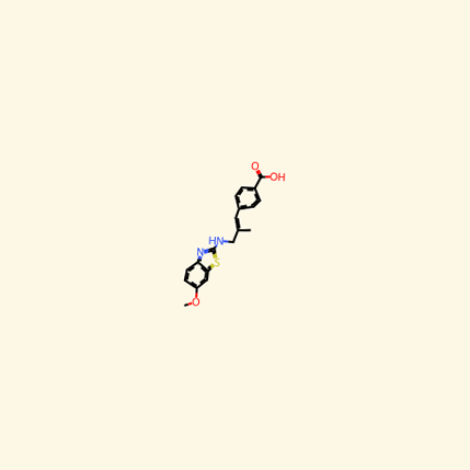 COc1ccc2nc(NCC(C)=Cc3ccc(C(=O)O)cc3)sc2c1